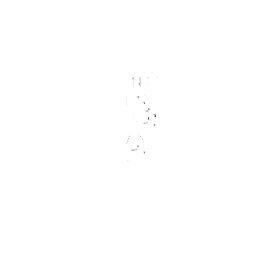 C[C@@H](Nc1nnc(-c2ccc(C3CC3)nc2)o1)C(=O)N1CCC2(CC1)CC2